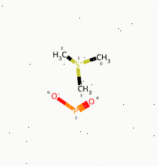 C[S+](C)C.O=P[O-]